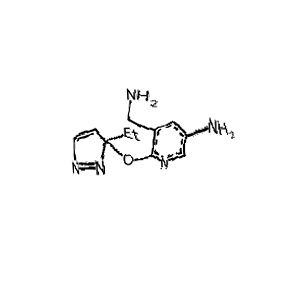 CCC1(Oc2ncc(N)cc2CN)C=CN=N1